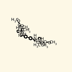 COCCOC(=O)N[C@H](C(=O)N1CCC[C@H]1c1ncc(-c2ccc(-c3ccc(-c4cnc([C@@H]5CCCN5C(=O)[C@@H](NC(=O)OCCOC)C(C)C)[nH]4)cc3)cc2)[nH]1)C(C)C